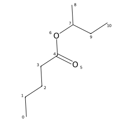 CCCCC(=O)OC(C)CC